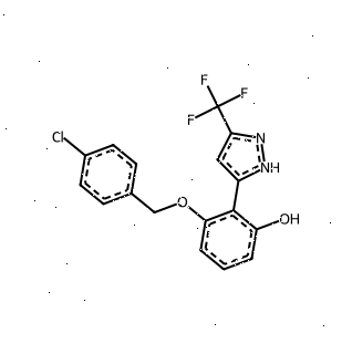 Oc1cccc(OCc2ccc(Cl)cc2)c1-c1cc(C(F)(F)F)n[nH]1